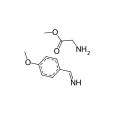 COC(=O)CN.COc1ccc(C=N)cc1